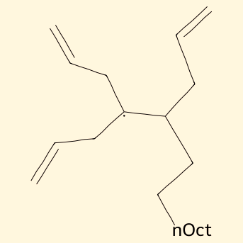 C=CC[C](CC=C)C(CC=C)CCCCCCCCCC